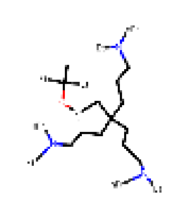 CCCN(CC)CCCC(CCCN(CC)CCC)(CCCN(CC)CCC)C[SiH2]OC(C)(CC)CC